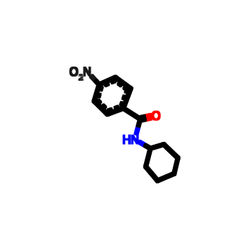 O=C(NC1CCCCC1)c1ccc([N+](=O)[O-])cc1